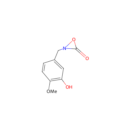 COc1ccc(CN2OC2=O)cc1O